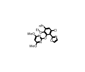 CCCc1cc(Cl)c(-c2ncco2)c(Oc2nc(OC)cc(OC)n2)c1OCC